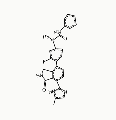 Cc1cnc(-c2ccc(-c3ccc(N(S)C(=O)Nc4ccccc4)cc3F)c3c2C(=O)NC3)[nH]1